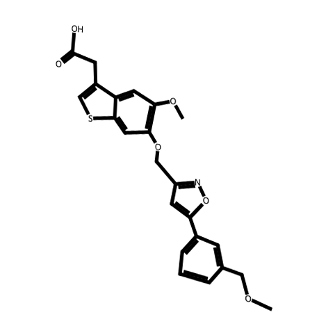 COCc1cccc(-c2cc(COc3cc4scc(CC(=O)O)c4cc3OC)no2)c1